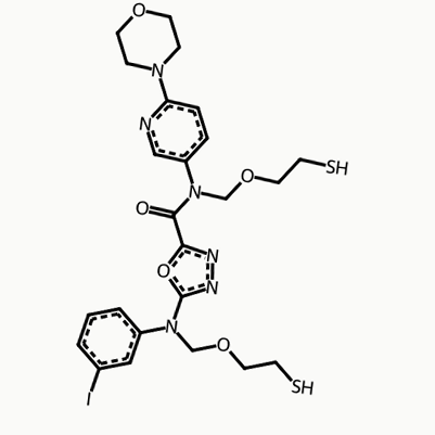 O=C(c1nnc(N(COCCS)c2cccc(I)c2)o1)N(COCCS)c1ccc(N2CCOCC2)nc1